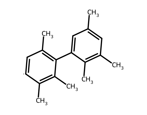 Cc1cc(C)c(C)c(-c2c(C)c[c]c(C)c2C)c1